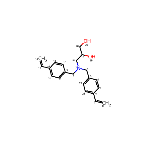 C=Cc1ccc(CN(Cc2ccc(C=C)cc2)CC(O)CO)cc1